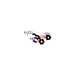 COCCCC[C@@](O)(c1ccccc1Oc1ccccc1C)C1CNCCO1